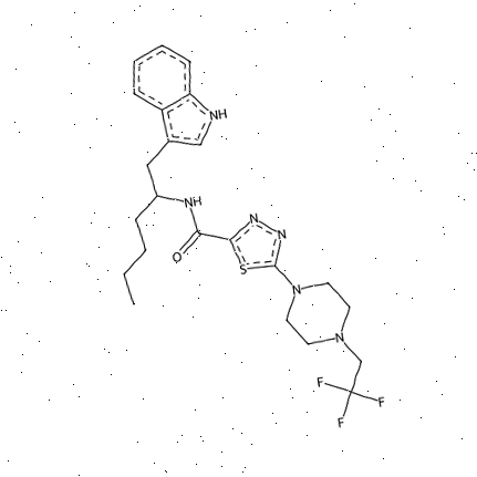 CCCCC(Cc1c[nH]c2ccccc12)NC(=O)c1nnc(N2CCN(CC(F)(F)F)CC2)s1